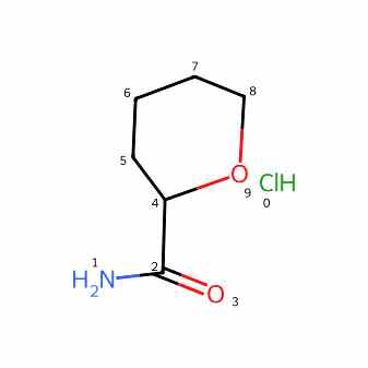 Cl.NC(=O)C1CCCCO1